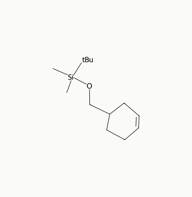 CC(C)(C)[Si](C)(C)OCC1CC=CCC1